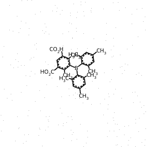 Cc1cc(C)c(B(c2c(C)cc(C)cc2C)c2c(C)c(C(=O)O)cc(C(=O)O)c2C)c(C)c1